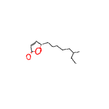 CCC(C)CCCCCC1C=CC(=O)O1